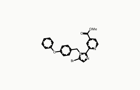 COC(=O)c1ccnc(-c2ncc(Br)n2Cc2ccc(Oc3ccccc3)cc2)c1